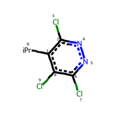 CC(C)c1c(Cl)nnc(Cl)c1Cl